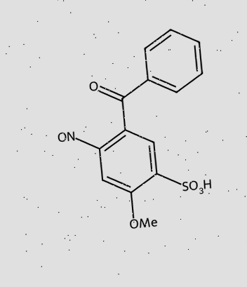 COc1cc(N=O)c(C(=O)c2ccccc2)cc1S(=O)(=O)O